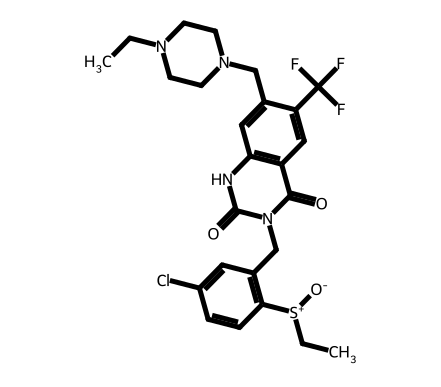 CCN1CCN(Cc2cc3[nH]c(=O)n(Cc4cc(Cl)ccc4[S+]([O-])CC)c(=O)c3cc2C(F)(F)F)CC1